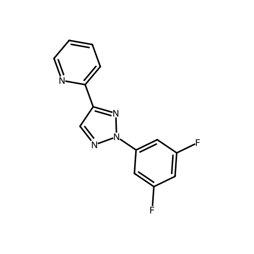 Fc1cc(F)cc(-n2ncc(-c3ccccn3)n2)c1